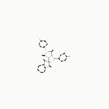 CC(=O)c1ccc(N2C(=O)C3C(c4ccc(Cl)c(Cl)c4)OC4(C(=O)c5ccccc5C4=O)C3C2=O)cc1